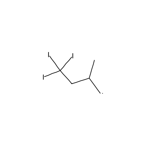 [CH2]C(C)CC(I)(I)I